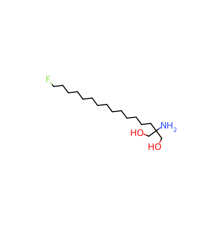 NC(CO)(CO)CCCCCCCCCCCCCCF